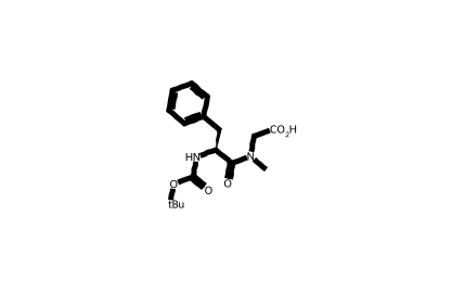 CN(CC(=O)O)C(=O)[C@H](Cc1ccccc1)NC(=O)OC(C)(C)C